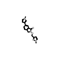 Cn1ccc(-c2ccc3c(c2)C(=O)N(OCc2ccn(C)n2)C3)c1